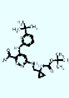 CC(C)(C)OC(=O)NC1(CNc2cc(Nc3cccc(C(C)(C)C)n3)c(C(N)=O)nn2)CC1